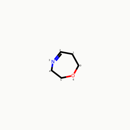 [CH]1CC=NCCO1